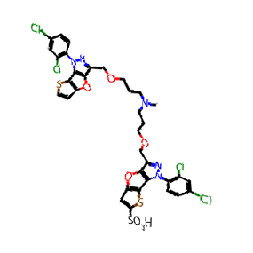 CN(CCCOCc1nn(-c2ccc(Cl)cc2Cl)c2c1oc1ccsc12)CCCOCc1nn(-c2ccc(Cl)cc2Cl)c2c1oc1cc(S(=O)(=O)O)sc12